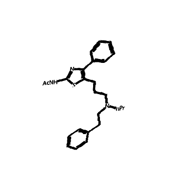 CCCN(CCCc1sc(NC(C)=O)nc1-c1ccccc1)CCc1ccccc1